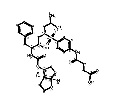 CC(C)CN(C[C@@H](O)[C@H](Cc1ccccc1)NC(=O)O[C@H]1CO[C@H]2OCC[C@H]21)S(=O)(=O)c1ccc(NC(=O)CCC(=O)O)cc1